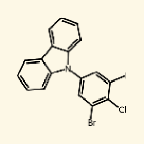 Clc1c(Br)cc(-n2c3ccccc3c3ccccc32)cc1I